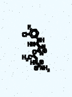 C[C@H](CNS(N)(=O)=O)Oc1nonc1C(=N)Nc1ccc(F)c(Cl)c1